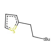 CC(C)(C)CCc1cccs1